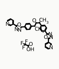 CC(C(=O)C(C)c1ccc(-c2nnc(-c3cccnc3)o2)cc1)c1ccc(-c2nnc(-c3cccnc3)o2)cc1.O=C(O)C(F)(F)F